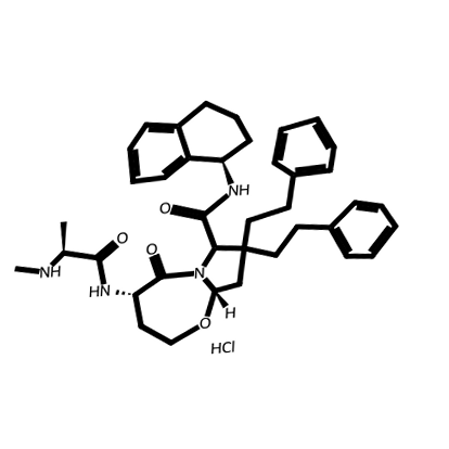 CN[C@@H](C)C(=O)N[C@H]1CCO[C@H]2CC(CCc3ccccc3)(CCc3ccccc3)C(C(=O)N[C@@H]3CCCc4ccccc43)N2C1=O.Cl